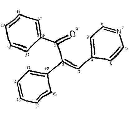 O=C(C(=Cc1ccncc1)c1ccccc1)c1ccccc1